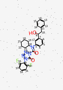 O=C(N(c1cccc(C(O)Cc2ccccc2)c1)C1CCCCC1)n1nnn(-c2c(F)cccc2F)c1=O